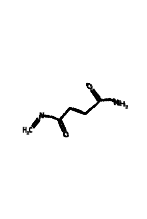 C=NC(=O)CCC(N)=O